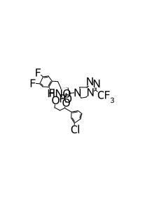 O=C(C[C@@H](Cc1cc(F)c(F)cc1F)NP1(=O)OCCC(c2cccc(Cl)c2)O1)N1CCn2c(nnc2C(F)(F)F)C1